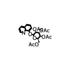 CC(=O)OC[C@H]1OC(Oc2cccc3cccnc23)[C@H](OC(C)=O)[C@@H](OC(C)=O)[C@H]1OC(C)=O